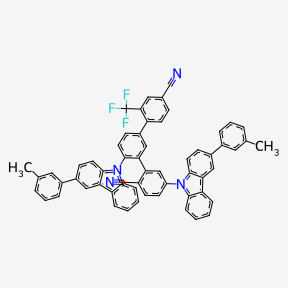 Cc1cccc(-c2ccc3c(c2)c2ccccc2n3-c2ccc(C#N)c(-c3cc(-c4ccc(C#N)cc4C(F)(F)F)ccc3-n3c4ccccc4c4cc(-c5cccc(C)c5)ccc43)c2)c1